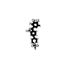 Cc1cc(-c2n[nH]c3cc(C4CCN(S(C)(=O)=O)CC4)ccc23)c(F)c(O)c1F